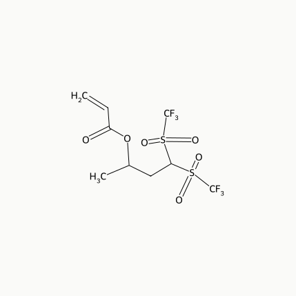 C=CC(=O)OC(C)CC(S(=O)(=O)C(F)(F)F)S(=O)(=O)C(F)(F)F